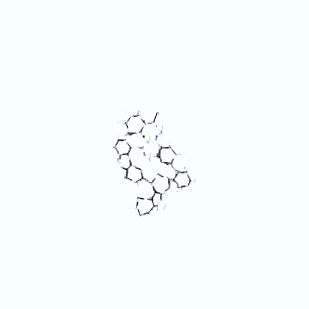 C=C(/N=C(\N=C(/N)c1cccc2oc3ccc(-c4cccc5oc6ccccc6c45)cc3c12)c1ccc(-c2ccccc2)cc1)c1ccccc1